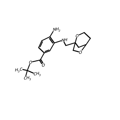 CC(C)(C)OC(=O)c1ccc(N)c(NCC23COC(CCO2)C3)c1